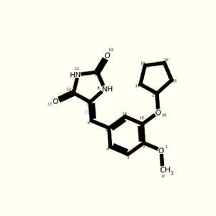 COc1ccc(/C=C2\NC(=O)NC2=O)cc1OC1CCCC1